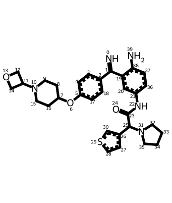 N=C(c1ccc(OC2CCN(C3COC3)CC2)cc1)c1cc(NC(=O)C(c2ccsc2)N2CCCC2)ccc1N